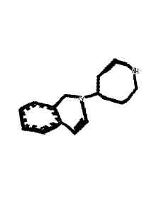 C1=CN(C2CCNCC2)Cc2ccccc21